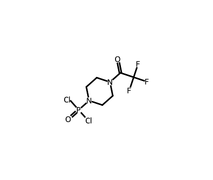 O=C(N1CCN(P(=O)(Cl)Cl)CC1)C(F)(F)F